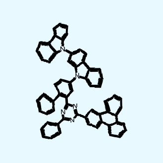 c1ccc(-c2nc(-c3ccc4c5ccccc5c5ccccc5c4c3)nc(-c3cc(-n4c5ccccc5c5ccc(-n6c7ccccc7c7ccccc76)cc54)ccc3-c3ccccc3)n2)cc1